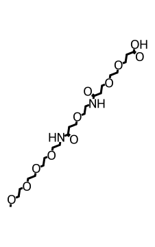 COCCOCCOCCOCCNC(=O)CCOCCNC(=O)CCOCCOCCC(=O)O